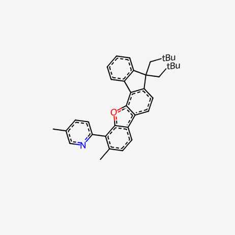 Cc1ccc(-c2c(C)ccc3c2oc2c4c(ccc23)C(CC(C)(C)C)(CC(C)(C)C)c2ccccc2-4)nc1